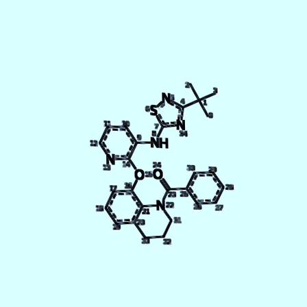 CC(C)(C)c1nsc(Nc2cccnc2Oc2cccc3c2N(C(=O)c2ccccc2)CCC3)n1